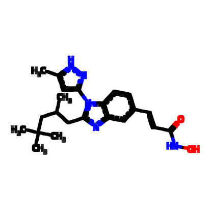 Cc1cc(-n2c(CC(C)CC(C)(C)C)nc3cc(C=CC(=O)NO)ccc32)n[nH]1